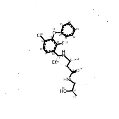 CC[C@@H](N[C@H](C)CC(=O)NC[C@@H](C)O)c1ccc(Cl)c(Oc2ccccc2)c1F